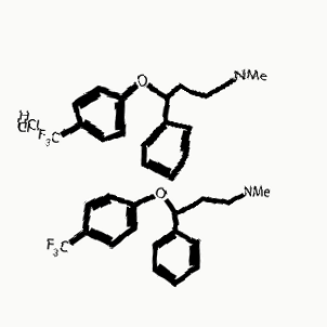 CNCCC(Oc1ccc(C(F)(F)F)cc1)c1ccccc1.CNCCC(Oc1ccc(C(F)(F)F)cc1)c1ccccc1.Cl.Cl